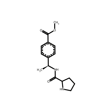 COC(=O)c1ccc([C@H](C)NC(=O)C2CCCN2)cc1